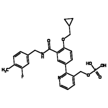 Cc1ccc(CNC(=O)c2cc(-c3ncccc3COP(=O)(O)O)ccc2OCC2CC2)cc1F